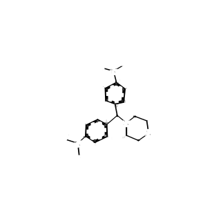 CN(C)c1ccc(C(c2ccc(N(C)C)cc2)N2CCNCC2)cc1